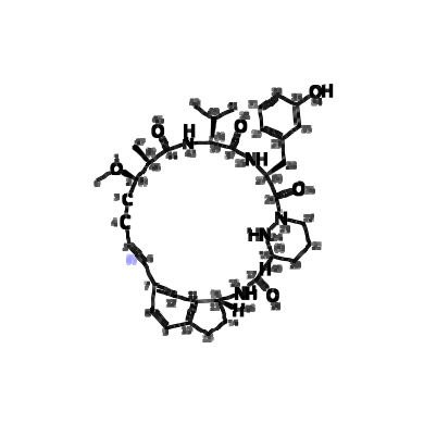 CO[C@@H]1CC/C=C/c2ccc3c(c2)[C@@H](CC3)NC(=O)[C@@H]2CCCN(N2)C(=O)[C@H](Cc2cccc(O)c2)NC(=O)[C@H](C(C)C)NC(=O)[C@@H]1C